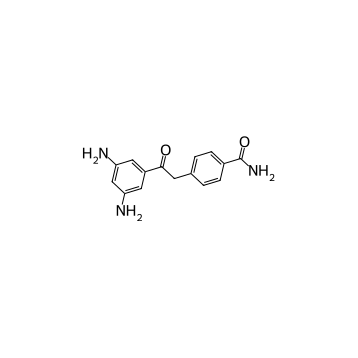 NC(=O)c1ccc(CC(=O)c2cc(N)cc(N)c2)cc1